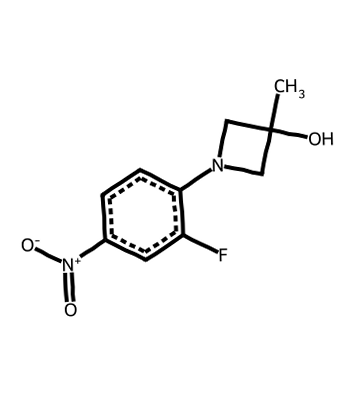 CC1(O)CN(c2ccc([N+](=O)[O-])cc2F)C1